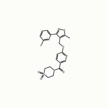 Cc1onc(-c2cccc(F)c2)c1COc1ccc(C(=O)N2CCS(=O)(=O)CC2)cn1